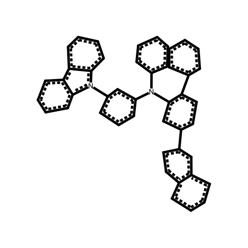 c1ccc(-c2ccc(-c3ccc4ccccc4c3)cc2N(c2ccccc2)c2cccc(-n3c4ccccc4c4ccccc43)c2)cc1